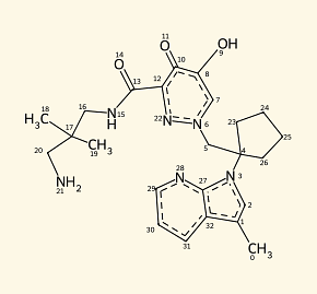 Cc1cn(C2(Cn3cc(O)c(=O)c(C(=O)NCC(C)(C)CN)n3)CCCC2)c2ncccc12